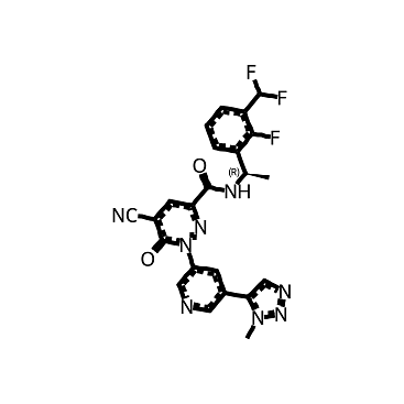 C[C@@H](NC(=O)c1cc(C#N)c(=O)n(-c2cncc(-c3cnnn3C)c2)n1)c1cccc(C(F)F)c1F